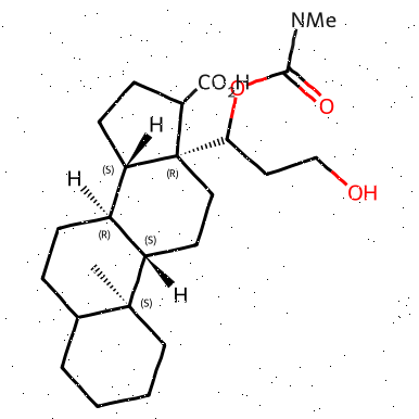 CNC(=O)OC(CCO)[C@]12CC[C@H]3[C@@H](CCC4CCCC[C@@]43C)[C@@H]1CCC2C(=O)O